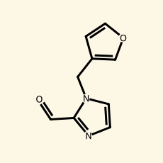 O=Cc1nccn1Cc1ccoc1